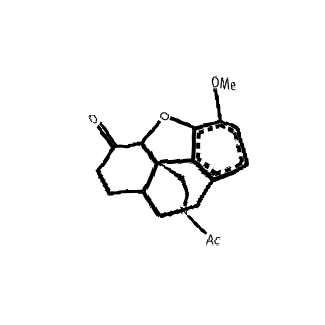 COc1ccc2c3c1OC1C(=O)CCC4C(C2)N(C(C)=O)CC[C@]314